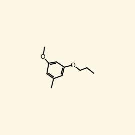 CCCOc1cc(C)cc(OC)c1